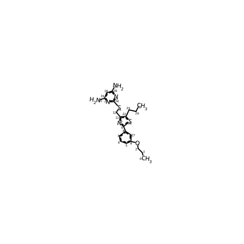 CCCOc1cccc(-c2nc(CSc3nc(N)cc(N)n3)c(CCC)s2)c1